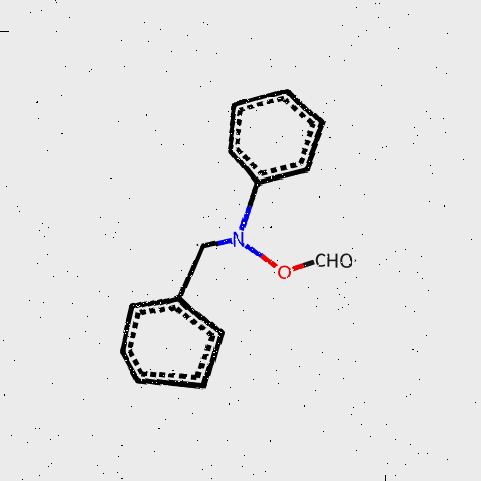 O=[C]ON([CH]c1ccccc1)c1ccccc1